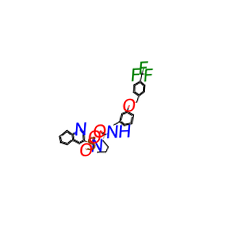 O=C(NCc1cccc(OCc2ccc(C(F)(F)F)cc2)c1)[C@@H]1CCCN1S(=O)(=O)c1cnc2ccccc2c1